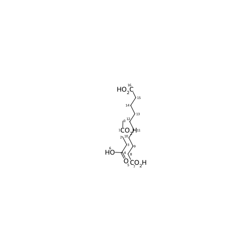 CC(=O)O.CCC(=O)O.O=C(O)CCCCCCCCC(=O)O